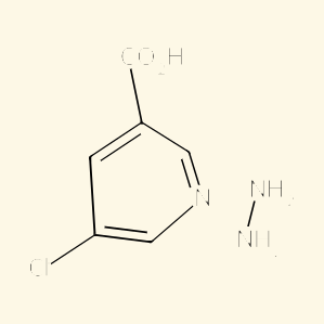 NN.O=C(O)c1cncc(Cl)c1